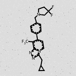 FC1(F)CCN(Cc2ccc(-c3ccn4c(CC5CC5)nnc4c3C(F)(F)F)cc2)C1